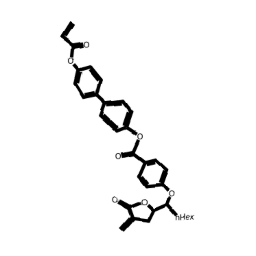 C=CC(=O)Oc1ccc(-c2ccc(OC(=O)c3ccc(OC(CCCCCC)C4CC(=C)C(=O)O4)cc3)cc2)cc1